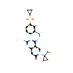 Cc1nc(N[C@H](C)c2cccc(S(=O)(=O)C3CC3)c2F)c2cn(C3(C(F)F)CC3)c(=O)cc2n1